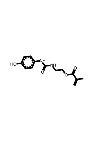 C=C(C)C(=O)OCCNC(=O)Nc1ccc(O)cc1